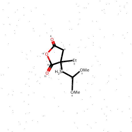 CCC1([SiH2]C(OC)OC)CC(=O)OC1=O